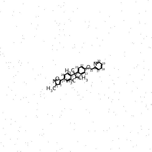 Cc1cc(-c2ccc(C(C)(c3ccc(OCc4ccccn4)cc3)C(C)C)cc2)on1